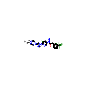 CN1CCN(c2cn(-c3ncc(NC(=O)Cc4cccc(C(F)(F)F)c4F)cc3F)cn2)CC1